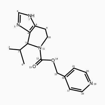 CC(C)C1c2nc[nH]c2CCN1C(=O)OCc1ccncc1